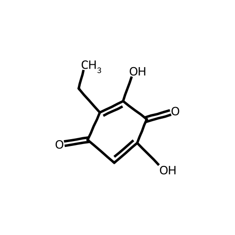 CCC1=C(O)C(=O)C(O)=CC1=O